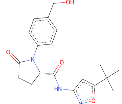 CC(C)(C)c1cc(NC(=O)[C@@H]2CCC(=O)N2c2ccc(CO)cc2)no1